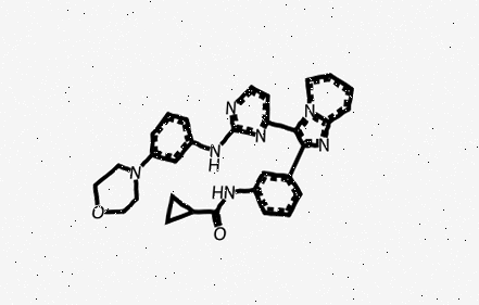 O=C(Nc1cccc(-c2nc3ccccn3c2-c2ccnc(Nc3cccc(N4CCOCC4)c3)n2)c1)C1CC1